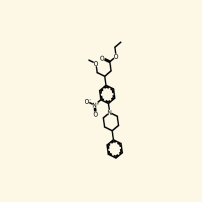 CCOC(=O)CC(COC)c1ccc(N2CCC(c3ccccc3)CC2)c([N+](=O)[O-])c1